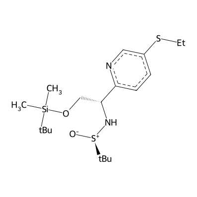 CCSc1ccc([C@@H](CO[Si](C)(C)C(C)(C)C)N[S@+]([O-])C(C)(C)C)nc1